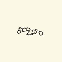 c1ccc(-c2cc3cc4ccc5c6cc7occc7cc6ccc5c4cc3o2)cc1